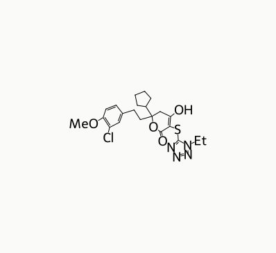 CCn1nnnc1SC1=C(O)CC(CCc2ccc(OC)c(Cl)c2)(C2CCCC2)OC1=O